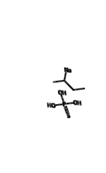 CC[CH](C)[Na].OP(O)(O)=S